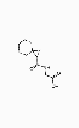 O=C(O)CNC(=O)[C@@H]1CC12CCCCC2